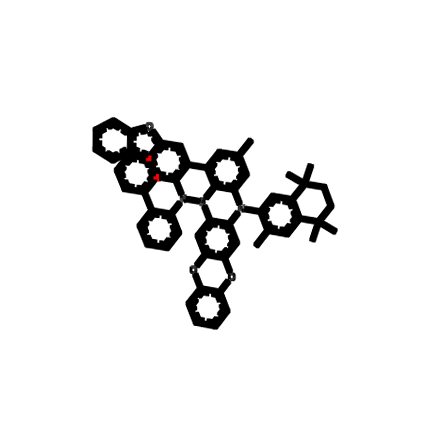 Cc1cc2c3c(c1)N(c1cc4c(cc1C)C(C)(C)CCC4(C)C)c1cc4c(cc1B3N(c1ccccc1-c1ccccc1)c1cc3c(cc1-2)oc1ccccc13)Oc1ccccc1O4